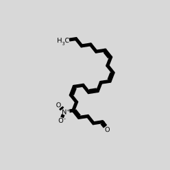 CCCCC/C=C\C/C=C\C/C=C\C/C=C\C/C(=C\CC[C]=O)[N+](=O)[O-]